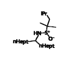 CCCCCCCC(CCCCCCC)N[S+]([O-])C(C)(C)CC(C)C